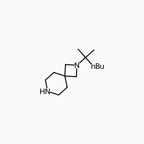 CCCCC(C)(C)N1CC2(CCNCC2)C1